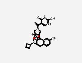 O=C1NC(O)NC=C1C(=O)N1C[C@H]2CC34CCC1C2C31CCN(C2CCC2)C4Cc2ccc(O)cc21